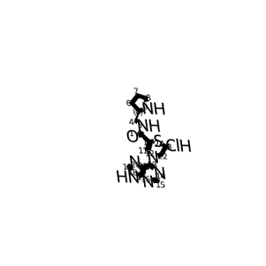 Cl.O=C(NC[C@H]1CCCN1)C1=CN(c2ncnc3[nH]cnc23)CCS1